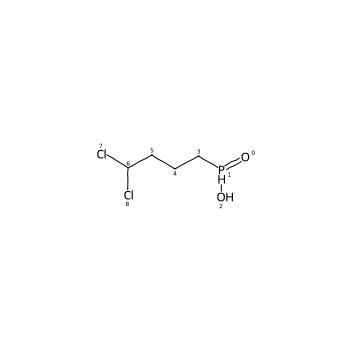 O=[PH](O)CCCC(Cl)Cl